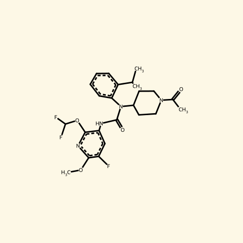 COc1nc(OC(F)F)c(NC(=O)N(c2ccccc2C(C)C)C2CCN(C(C)=O)CC2)cc1F